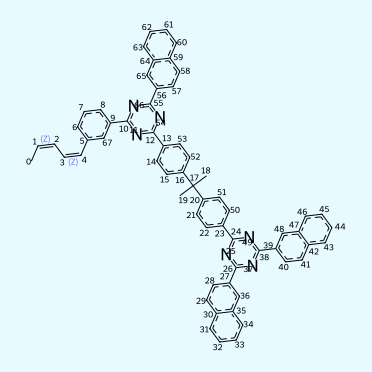 C/C=C\C=C/c1cccc(-c2nc(-c3ccc(C(C)(C)c4ccc(-c5nc(-c6ccc7ccccc7c6)nc(-c6ccc7ccccc7c6)n5)cc4)cc3)nc(-c3ccc4ccccc4c3)n2)c1